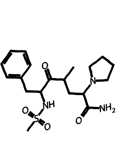 CC(CC(C(N)=O)N1CCCC1)C(=O)C(Cc1ccccc1)NS(C)(=O)=O